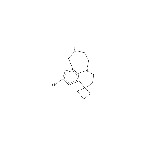 Clc1cc2c3c(c1)C1(CCC1)CCN3CCNC2